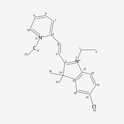 CC[N+]1=C(C=Cc2cccc[n+]2CC)C(C)(C)c2cc(Cl)ccc21